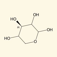 OC1OCC(O)[C@@H](O)C1O